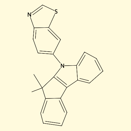 CC1(C)c2ccccc2-c2c1n(-c1ccc3ncsc3c1)c1ccccc21